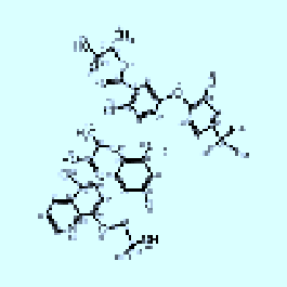 C[C@H](OC(=O)c1cc(Oc2ccc(C(F)(F)F)cc2Cl)ccc1Cl)C(=O)O.Cc1cc(Cl)ccc1OC(C)C(=O)O.O=C(O)COc1ccc(Cl)c2cccnc12